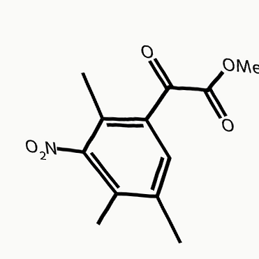 COC(=O)C(=O)c1cc(C)c(C)c([N+](=O)[O-])c1C